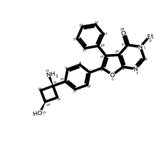 CCn1cnc2oc(-c3ccc([C@]4(N)C[C@@H](O)C4)cc3)c(-c3ccccc3)c2c1=O